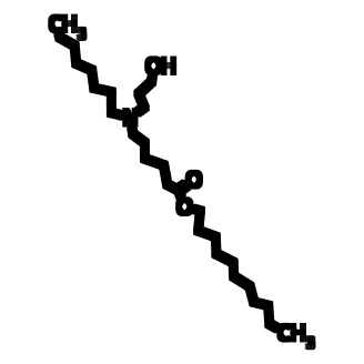 CCCCCCCCCCCOC(=O)CCCCCN(CCCO)CCCCCCCC